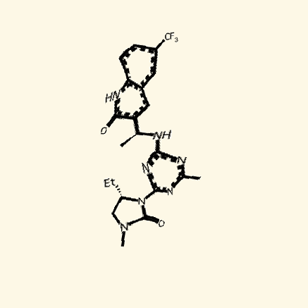 CC[C@H]1CN(C)C(=O)N1c1nc(C)nc(N[C@@H](C)c2cc3cc(C(F)(F)F)ccc3[nH]c2=O)n1